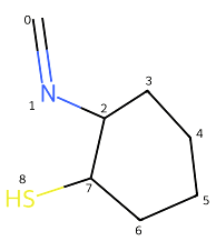 C=NC1CCCCC1S